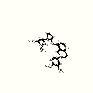 COc1ncc(N2CCc3ncnc(OC4CCCN4c4cc(C=O)n(C)n4)c3C2)cc1C(F)(F)F